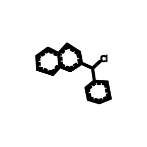 ClC(c1ccccc1)c1ccc2ccccc2c1